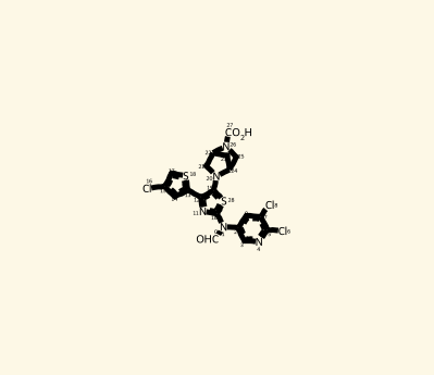 O=CN(c1cnc(Cl)c(Cl)c1)c1nc(-c2cc(Cl)cs2)c(N2CC3CC2CN3C(=O)O)s1